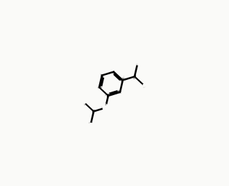 CC(C)Sc1cccc(C(C)C)c1